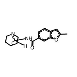 Cc1cc2ccc(C(=O)N[C@@H]3CC4CCN(CC4)C3)cc2o1